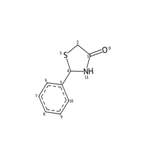 O=C1CSC(c2ccccc2)N1